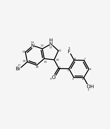 O=C(c1cc(O)ccc1F)C1CNc2ncc(Br)cc21